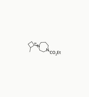 CCOC(=O)N1CCCN([C@@H]2CCC2C)CC1